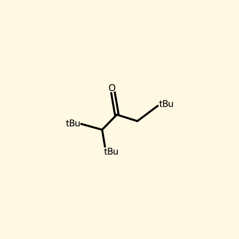 CC(C)(C)CC(=O)C(C(C)(C)C)C(C)(C)C